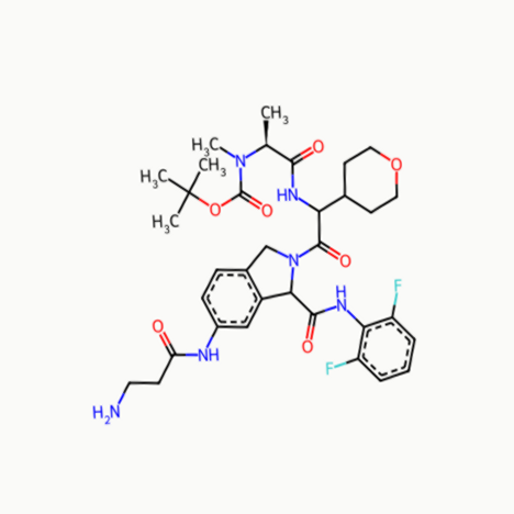 C[C@@H](C(=O)NC(C(=O)N1Cc2ccc(NC(=O)CCN)cc2C1C(=O)Nc1c(F)cccc1F)C1CCOCC1)N(C)C(=O)OC(C)(C)C